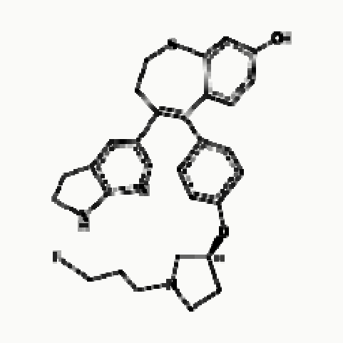 Oc1ccc2c(c1)SCCC(c1cnc3c(c1)CCN3)=C2c1ccc(O[C@H]2CCN(CCCF)C2)cc1